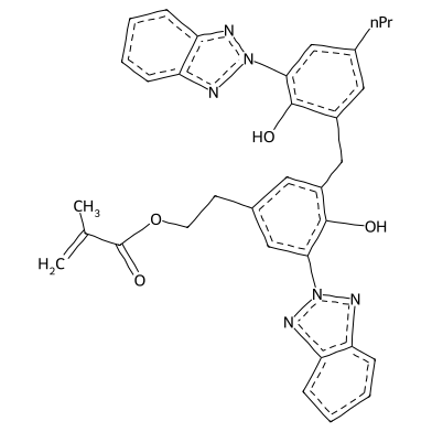 C=C(C)C(=O)OCCc1cc(Cc2cc(CCC)cc(-n3nc4ccccc4n3)c2O)c(O)c(-n2nc3ccccc3n2)c1